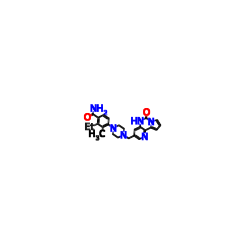 CCc1c(C(N)=O)ccc(N2CCN(Cc3cnc4c(c3)[nH]c(=O)n3cccc43)CC2)c1C